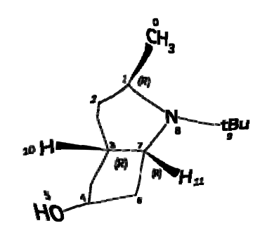 C[C@@H]1C[C@H]2C(O)C[C@H]2N1C(C)(C)C